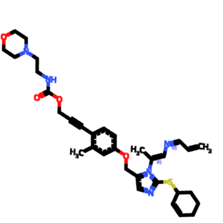 C=C/C=N\C=C(/C)n1c(COc2ccc(C#CCOC(=O)NCCN3CCOCC3)c(C)c2)cnc1SC1C=CCCC1